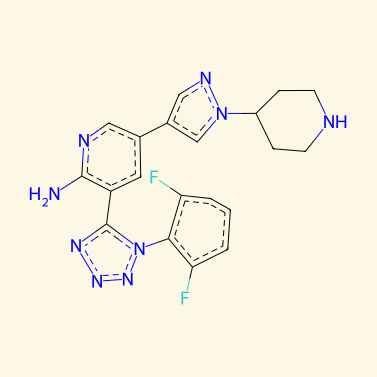 Nc1ncc(-c2cnn(C3CCNCC3)c2)cc1-c1nnnn1-c1c(F)cccc1F